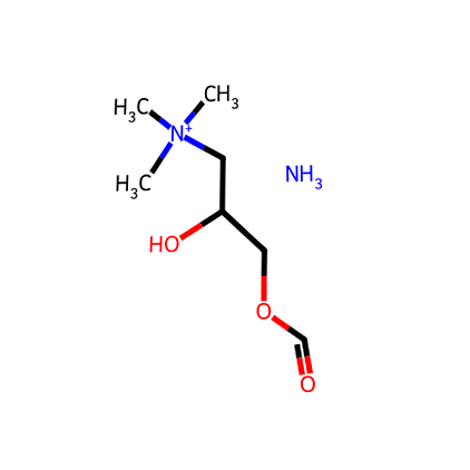 C[N+](C)(C)CC(O)COC=O.N